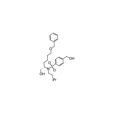 CC(C)CCN([C@H](CO)CCCCOCc1ccccc1)S(=O)(=O)c1ccc(CO)cc1